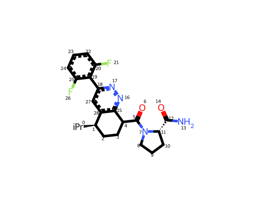 CC(C)[C@@H]1CCC(C(=O)N2CCC[C@H]2C(N)=O)c2nnc(-c3c(F)cccc3F)cc21